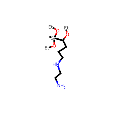 CCOC(CCCNCCN)[Si](C)(OCC)OCC